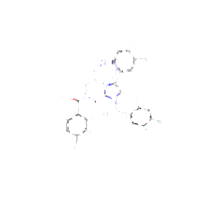 Cc1ccc(C(=O)N(CCCN)[C@@H](c2nc(-c3cccc(Cl)c3)cn2Cc2ccc(F)cc2F)C(C)(C)C)cc1